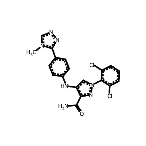 Cn1cnnc1-c1ccc(Nc2cn(-c3c(Cl)cccc3Cl)nc2C(N)=O)cc1